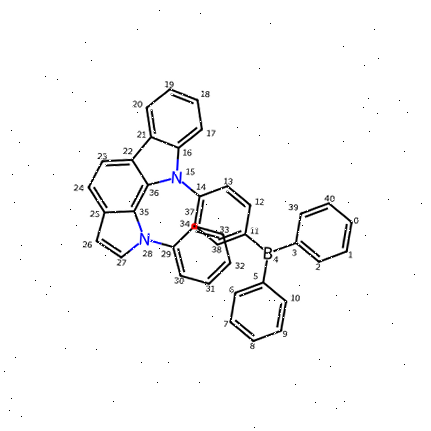 c1ccc(B(c2ccccc2)c2ccc(-n3c4ccccc4c4ccc5ccn(-c6ccccc6)c5c43)cc2)cc1